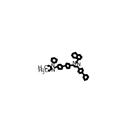 C=Cc1nc(-c2ccc(-c3ccc(-c4cc(-c5ccc(-c6ccccc6)cc5)nc(-c5cccc6ccccc56)n4)cc3)cc2)n(-c2ccccc2)c1C=C